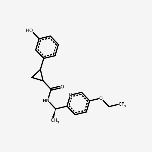 C[C@@H](NC(=O)C1CC1c1cccc(O)c1)c1ccc(OCC(F)(F)F)cn1